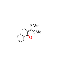 CSC(SC)=C1CCC2CC=CC=C2C1=O